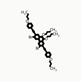 CCCCOc1ccc(C#Cc2cc3c(OCCCC)c(OCCCC)c4cc(C#Cc5ccc(OCCCC)cc5)c(Br)cc4c3cc2Br)cc1